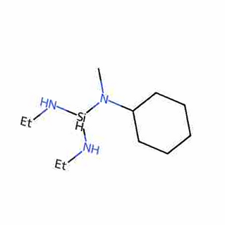 CCN[SiH](NCC)N(C)C1CCCCC1